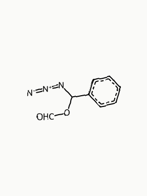 [N-]=[N+]=NC(OC=O)c1ccccc1